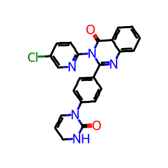 O=C1NCC=CN1c1ccc(-c2nc3ccccc3c(=O)n2-c2ccc(Cl)cn2)cc1